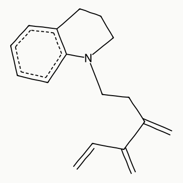 C=CC(=C)C(=C)CCN1CCCc2ccccc21